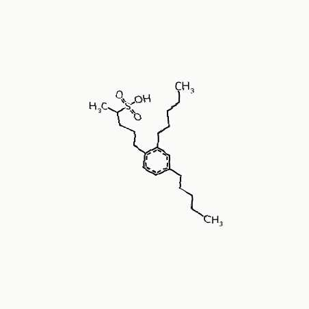 CCCCCc1ccc(CCCC(C)S(=O)(=O)O)c(CCCCC)c1